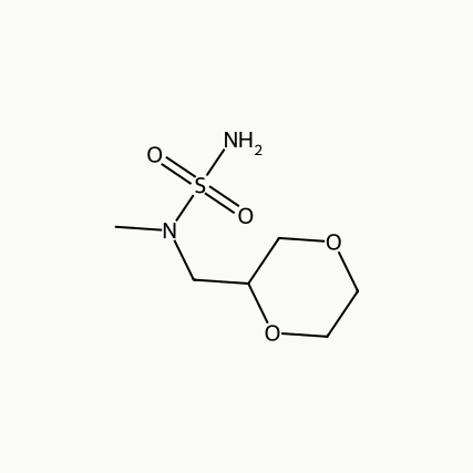 CN(CC1COCCO1)S(N)(=O)=O